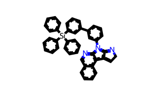 C1=c2c(n(-c3cccc(-c4cccc([Si](c5ccccc5)(c5ccccc5)c5ccccc5)c4)c3)c3ncc4ccccc4c23)=NC1